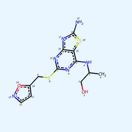 CC(CO)Nc1nc(SCc2ccno2)nc2nc(N)sc12